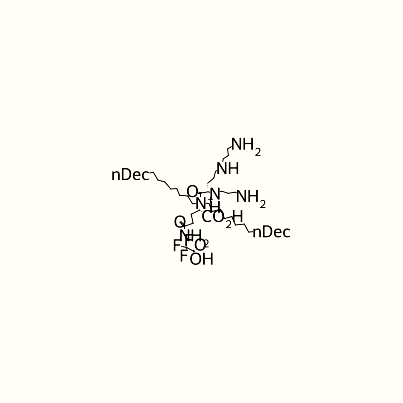 CCCCCCCCCCCCCCCCCC[N+](CCCCCCCCCCCCCCCCCC)(C(=O)[C@H](CCCNCCCN)NCCCN)[C@@H](CCC(N)=O)C(=O)O.O=C(O)C(F)(F)F